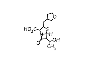 C[C@@H](O)[C@H]1C(=O)N2C(C(=O)O)C(CC3CCOC3)S[C@H]12